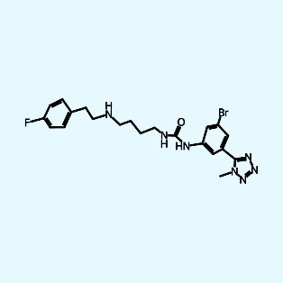 Cn1nnnc1-c1cc(Br)cc(NC(=O)NCCCCNCCc2ccc(F)cc2)c1